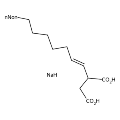 CCCCCCCCCCCCCCC=CC(CC(=O)O)C(=O)O.[NaH]